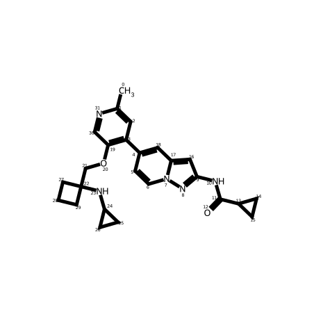 Cc1cc(-c2ccn3nc(NC(=O)C4CC4)cc3c2)c(OCC2(NC3CC3)CCC2)cn1